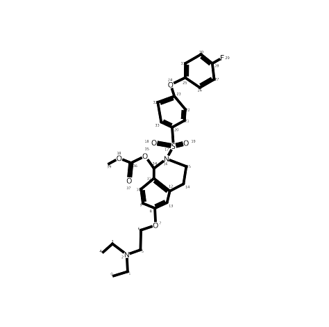 CCN(CC)CCOc1ccc2c(c1)CCN(S(=O)(=O)c1ccc(Oc3ccc(F)cc3)cc1)C2OC(=O)OC